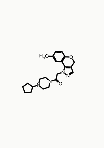 Cc1ccc2c(c1)-c1c(cnn1CC(=O)N1CCN(C3CCCC3)CC1)CO2